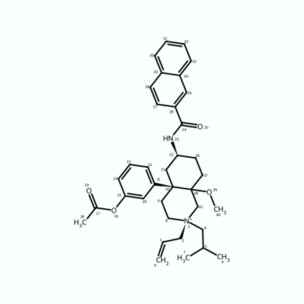 C=CC[N@@+]1(CC(C)C)CC[C@]2(c3cccc(OC(C)=O)c3)C[C@@H](NC(=O)c3ccc4ccccc4c3)CCC2(OC)C1